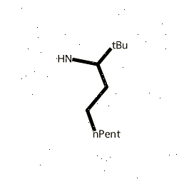 CCCCCCCC([NH])C(C)(C)C